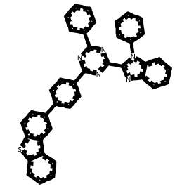 c1ccc(-c2nc(-c3ccc(-c4ccc5sc6ccccc6c5c4)cc3)nc(-c3nc4ccccc4n3-c3ccccc3)n2)cc1